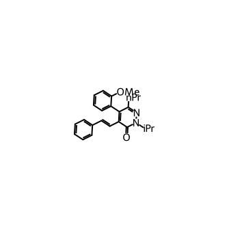 CCCc1nn(C(C)C)c(=O)c(C=Cc2ccccc2)c1-c1ccccc1OC